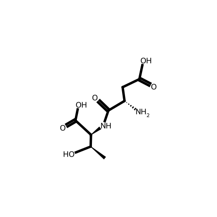 C[C@@H](O)[C@H](NC(=O)[C@@H](N)CC(=O)O)C(=O)O